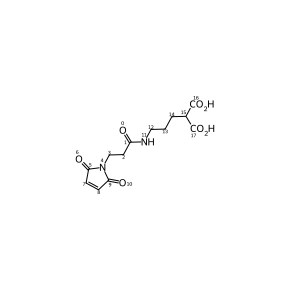 O=C(CCN1C(=O)C=CC1=O)NCCCC(C(=O)O)C(=O)O